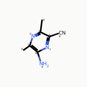 Cc1nc(C)c(C#N)nc1N